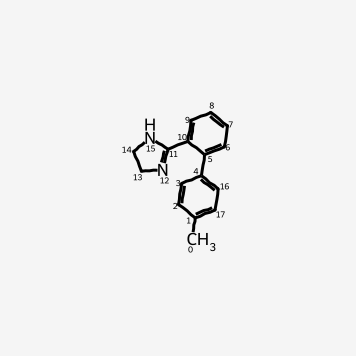 Cc1ccc(-c2ccccc2C2=NCCN2)cc1